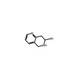 CC(C)C1Cc2ncccc2CN1